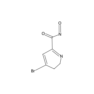 O=NC(=O)C1=NCCC(Br)=C1